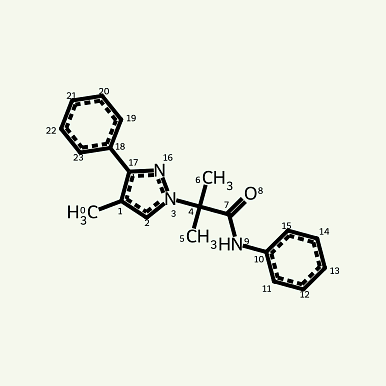 Cc1cn(C(C)(C)C(=O)Nc2ccccc2)nc1-c1ccccc1